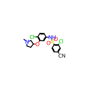 CN1CCC(Oc2cc(NS(=O)(=O)c3ccc(C#N)cc3Cl)ccc2Cl)C1